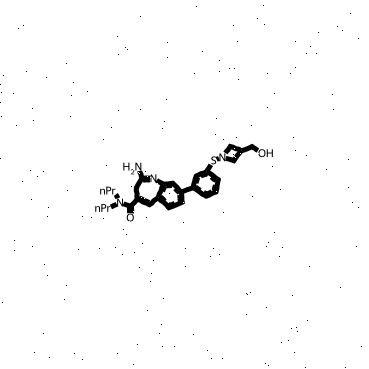 CCCN(CCC)C(=O)C1=Cc2ccc(-c3cccc(SN4CC(CO)C4)c3)cc2N=C(N)C1